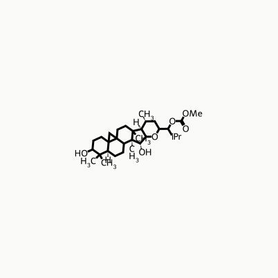 COC(=O)OC(C(C)C)C1C[C@@H](C)[C@H]2C(O1)[C@H](O)[C@@]1(C)C3CC[C@H]4C(C)(C)C(O)CCC45CC35CCC21C